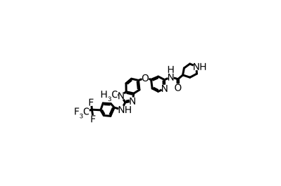 Cn1c(Nc2ccc(C(F)(F)C(F)(F)F)cc2)nc2cc(Oc3ccnc(NC(=O)C4CCNCC4)c3)ccc21